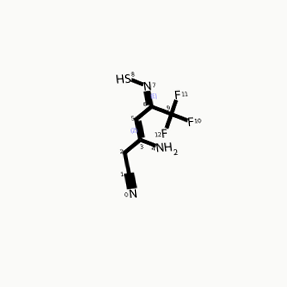 N#CC/C(N)=C/C(=N\S)C(F)(F)F